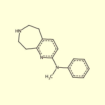 CN(c1ccccc1)c1ccc2c(n1)CCNCC2